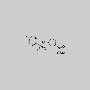 COC(=O)C1CCC(OS(=O)(=O)c2ccc(C)cc2)C1